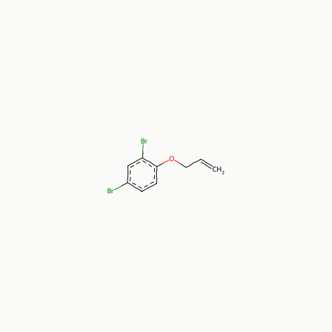 C=CCOc1ccc(Br)cc1Br